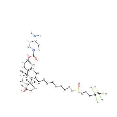 CN(C)C1CCN(C(=O)Oc2ccc3c(c2)C[C@@H](CCCCCCCCC[S+]([O-])CCCC(F)(F)C(F)(F)F)[C@@H]2[C@@H]3CC[C@]3(C)C(=O)CC[C@@H]23)CC1